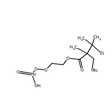 CCC(C)(C)C(C)(CC(C)(C)C)C(=O)OCCOO[PH](=O)O